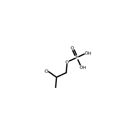 CC(Cl)COP(=O)(O)O